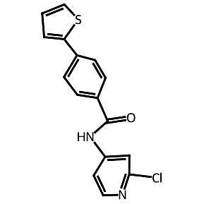 O=C(Nc1ccnc(Cl)c1)c1ccc(-c2cccs2)cc1